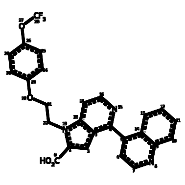 O=C(O)c1cc2c(-c3ccnc4ccccc34)nccc2n1CCOc1ccc(OC(F)(F)F)cc1